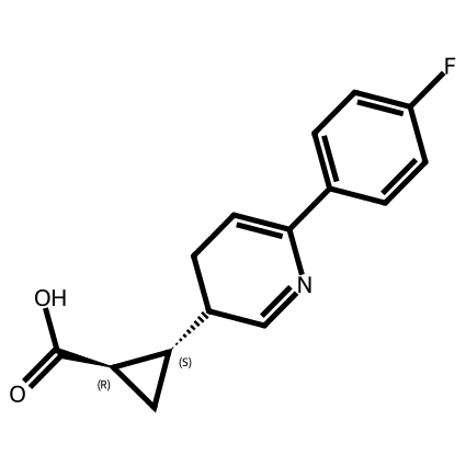 O=C(O)[C@@H]1C[C@H]1C1C=NC(c2ccc(F)cc2)=CC1